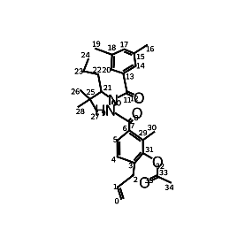 C=CCc1ccc(C(=O)NN(C(=O)c2cc(C)cc(C)c2)C(CCC)C(C)(C)C)c(C)c1OC(C)=O